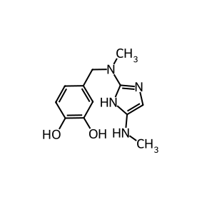 CNc1cnc(N(C)Cc2ccc(O)c(O)c2)[nH]1